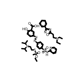 CCN(CC)CCc1nc(-c2ccccc2)no1.CCOP(C)(=O)SCCN(C(C)C)C(C)C.O=C(O)c1cc(N=Nc2ccc(S(=O)(=O)Nc3ccccn3)cc2)ccc1O